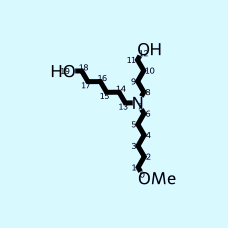 COCCCCCCN(CCCCO)CCCCCCO